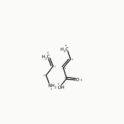 C=CCN.CC=CC(=O)O